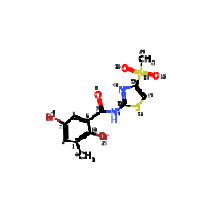 Cc1cc(Br)cc(C(=O)Nc2nc(S(C)(=O)=O)cs2)c1Br